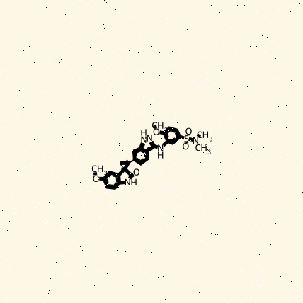 COc1ccc2c(c1)[C@]1(C[C@H]1c1ccc3c(Nc4cc(S(=O)(=O)N(C)C)ccc4OC)n[nH]c3c1)C(=O)N2